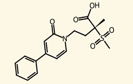 C[C@@](CCn1ccc(-c2ccccc2)cc1=O)(C(=O)O)S(C)(=O)=O